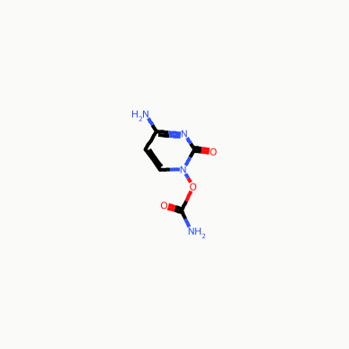 NC(=O)On1ccc(N)nc1=O